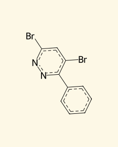 Brc1cc(Br)c(-c2ccccc2)nn1